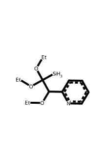 CCOC(c1ccccn1)C([SiH3])(OCC)OCC